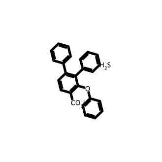 O=C(O)c1ccc(-c2ccccc2)c(-c2ccccc2)c1Oc1ccccc1.S